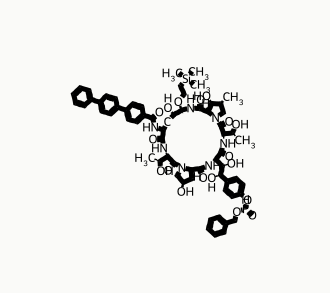 C[C@@H](O)[C@@H]1NC(=O)[C@H]([C@H](O)[C@@H](O)c2ccc(O[PH](=O)OCc3ccccc3)cc2)NC(=O)[C@@H]2C[C@@H](O)CN2C(=O)[C@H]([C@@H](C)O)NC(=O)C(NC(=O)c2ccc(-c3ccc(-c4ccccc4)cc3)cc2)C[C@@H](O)[C@@H](OCC[Si](C)(C)C)NC(=O)[C@@H]2[C@@H](O)[C@@H](C)CN2C1=O